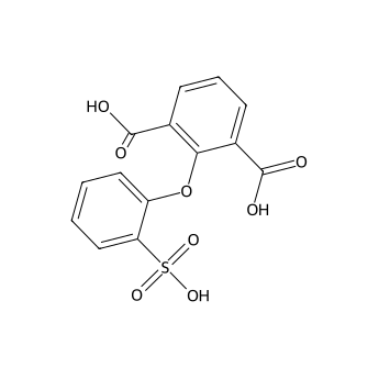 O=C(O)c1cccc(C(=O)O)c1Oc1ccccc1S(=O)(=O)O